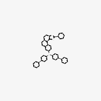 c1ccc(-c2ccc(N(c3ccc(-c4ccccc4)cc3)c3ccc4c(ccc5ccc6sc(-c7ccccc7)nc6c54)c3)cc2)cc1